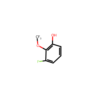 Oc1cccc(F)c1OC(F)(F)F